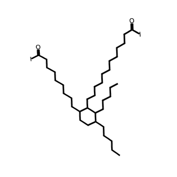 CCCCCC1CCC(CCCCCCCCC(=O)I)C(CCCCCCCCCCCC(=O)I)C1CCCCC